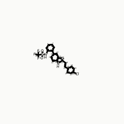 O=S(=O)(Nc1ccccc1-c1ccc2[nH]c(C=Cc3ccc(Cl)cc3)nc2c1)C(F)(F)F